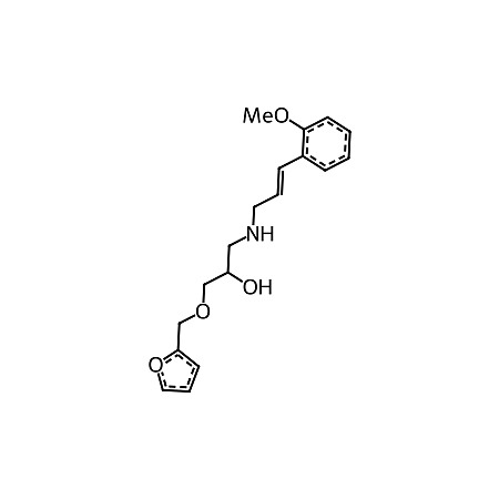 COc1ccccc1/C=C/CNCC(O)COCc1ccco1